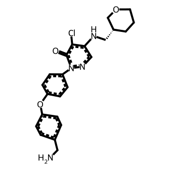 NCc1ccc(Oc2ccc(-n3ncc(NC[C@H]4CCCOC4)c(Cl)c3=O)cc2)cc1